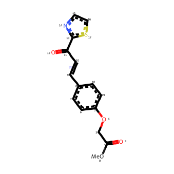 COC(=O)COc1ccc(/C=C/C(=O)c2nccs2)cc1